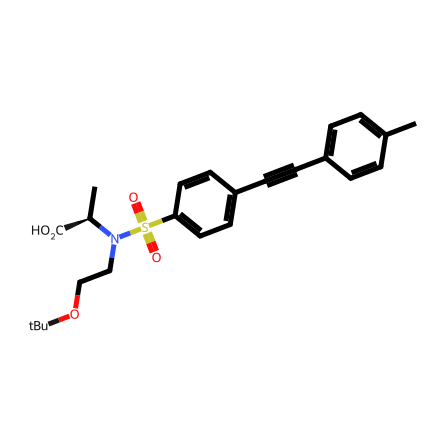 Cc1ccc(C#Cc2ccc(S(=O)(=O)N(CCOC(C)(C)C)[C@H](C)C(=O)O)cc2)cc1